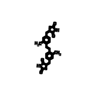 Cc1cc(CC2SC(=O)NC2=O)ccc1CCc1ccc(CC2SC(=O)NC2=O)cc1C